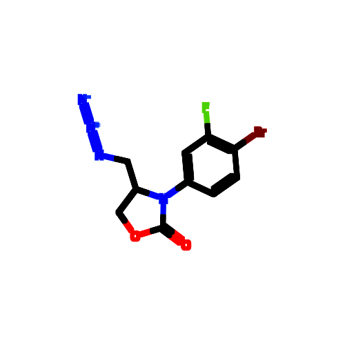 [N-]=[N+]=NCC1COC(=O)N1c1ccc(Br)c(F)c1